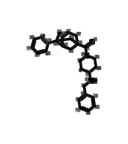 O=C(N1CCC(NCc2ccccc2)CC1)C12CC3CC(C1)C(c1ccccc1)(C3)C2